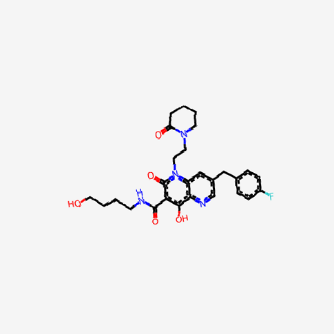 O=C(NCCCCO)c1c(O)c2ncc(Cc3ccc(F)cc3)cc2n(CCN2CCCCC2=O)c1=O